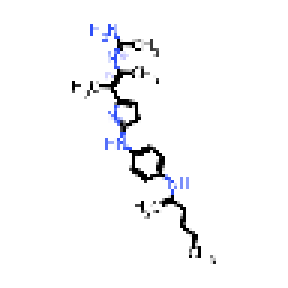 C=C(CCCC)Nc1ccc(NC2=NC(/C(C)=C(C)/N=C(\C)N)=CC2)cc1